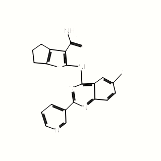 NC(=O)c1c(Nc2nc(-c3cccnc3)nc3ccc(Cl)cc23)sc2c1CCC2